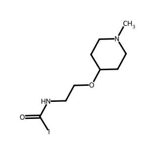 CN1CCC(OCCNC(=O)I)CC1